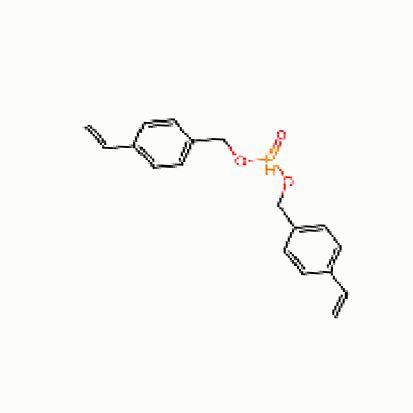 C=Cc1ccc(CO[PH](=O)OCc2ccc(C=C)cc2)cc1